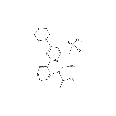 CC(C)(C)CN(C(N)=O)c1ccccc1-c1nc(CS(C)(=O)=O)cc(N2CCOCC2)n1